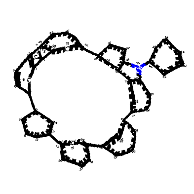 CC1(C)C2=C3C=CC(C2)c2cccc(c2)-c2cccc(c2)-c2cccc(c2)-c2ccc4c(c2)c2cc(ccc2n4-c2ccccc2)-c2ccc3c1c2